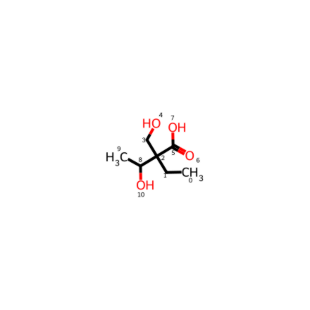 CCC(CO)(C(=O)O)C(C)O